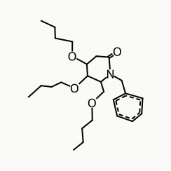 CCCCOCC1C(OCCCC)C(OCCCC)CC(=O)N1Cc1ccccc1